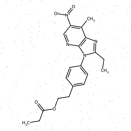 CCC(=O)OCCc1ccc(-n2c(CC)nc3c(C)c([N+](=O)[O-])cnc32)cc1